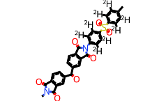 [2H]c1c([2H])c(S(=O)(=O)c2c([2H])c([2H])c(N3C(=O)c4ccc(C(=O)c5ccc6c(c5)C(=O)N(C)C6=O)cc4C3=O)c([2H])c2[2H])c([2H])c([2H])c1C